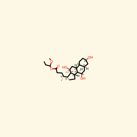 CCC(OC)OC(=O)CC[C@@H](C)[C@H]1CC[C@H]2[C@@H]3[C@H](O)C[C@@H]4C[C@H](O)CC[C@]4(C)[C@H]3C[C@H](O)[C@]12C